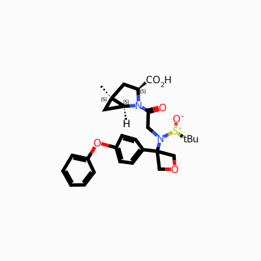 CC(C)(C)[S+]([O-])N(CC(=O)N1[C@H]2C[C@@]2(C)C[C@H]1C(=O)O)C1(c2ccc(Oc3ccccc3)cc2)COC1